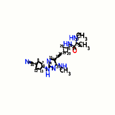 CNc1nc(Nc2ccc(C#N)cc2)ncc1C#C[C@H]1C[C@@H](NC(=O)[C@H](C)NC)C1